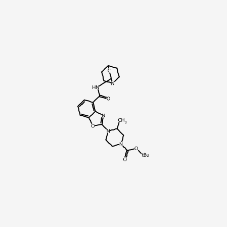 CC1CN(C(=O)OC(C)(C)C)CCN1c1nc2c(C(=O)NC3CC4CCN3CC4)cccc2o1